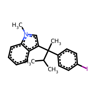 CC(C)C(C)(c1ccc(I)cc1)c1cn(C)c2ccccc12